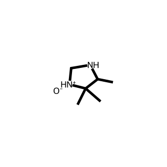 CC1NC[NH+]([O-])C1(C)C